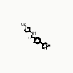 Cn1cc(-c2ccc(C(=O)NC3CCN(C#N)C3)cc2)cn1